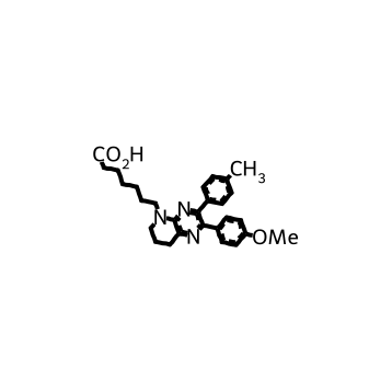 COc1ccc(-c2nc3c(nc2-c2ccc(C)cc2)N(CCCCCCC(=O)O)CCC3)cc1